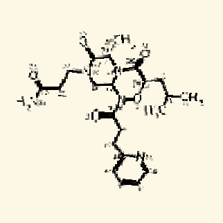 CC(C)C[C@H]1ON(C(=O)CCc2ccccn2)C2CN(CCC(N)=O)C(=O)[C@H](C)N2C1=O